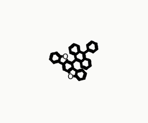 c1ccc(-c2c3ccccc3c(-c3c4oc5ccccc5c4cc4oc5ccccc5c34)c3ccccc23)cc1